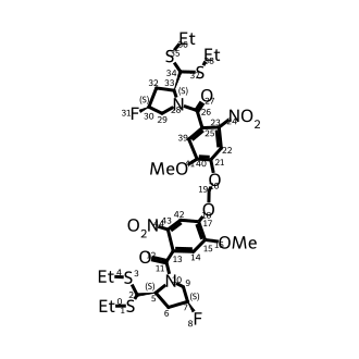 CCSC(SCC)[C@@H]1C[C@H](F)CN1C(=O)c1cc(OC)c(OCOc2cc([N+](=O)[O-])c(C(=O)N3C[C@@H](F)C[C@H]3C(SCC)SCC)cc2OC)cc1[N+](=O)[O-]